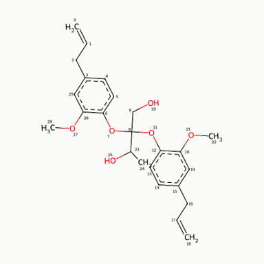 C=CCc1ccc(OC(CO)(Oc2ccc(CC=C)cc2OC)C(C)O)c(OC)c1